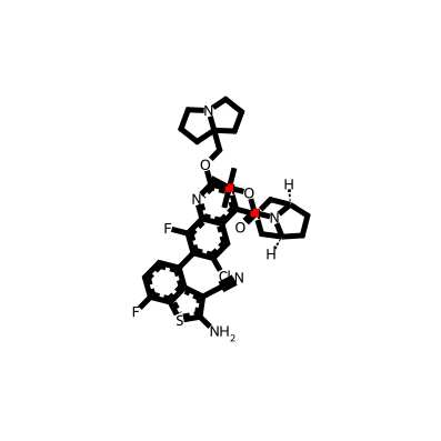 CC(C)(C)OC(=O)N1[C@@H]2CC[C@H]1CN(c1nc(OCC34CCCN3CCC4)nc3c(F)c(-c4ccc(F)c5sc(N)c(C#N)c45)c(Cl)cc13)C2